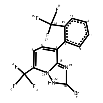 FC(F)(F)C1=CC=C(c2ccccc2C(F)(F)F)C2=NC(Br)NN12